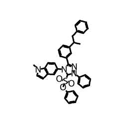 CC(Cc1ccccc1)c1cccc(C2=NN(c3ccccc3)C(S(=O)(=O)Oc3ccccc3)N2c2ccc3c(ccn3C)c2)c1